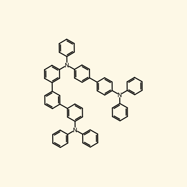 c1ccc(N(c2ccccc2)c2ccc(-c3ccc(N(c4ccccc4)c4cccc(-c5cccc(-c6cccc(N(c7ccccc7)c7ccccc7)c6)c5)c4)cc3)cc2)cc1